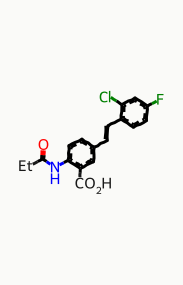 CCC(=O)Nc1ccc(/C=C/c2ccc(F)cc2Cl)cc1C(=O)O